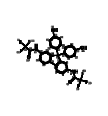 O=C(Nc1ccc2c(c1)C(c1ccc(O)cc1)(c1ccc(O)cc1)c1cc(NC(=O)C(F)(F)F)ccc1-2)C(F)(F)F